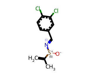 C=C(C)[S@@+]([O-])/N=C/c1ccc(Cl)c(Cl)c1